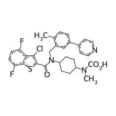 Cc1ccc(-c2ccncc2)cc1CN(C(=O)c1sc2c(F)ccc(F)c2c1Cl)C1CCC(N(C)C(=O)O)CC1